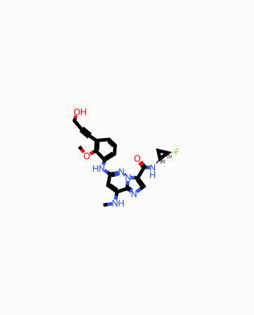 CNc1cc(Nc2cccc(C#CCO)c2OC)nn2c(C(=O)N[C@@H]3C[C@@H]3F)cnc12